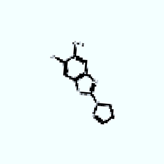 COc1cc2nc(N3CCC=N3)oc2cc1Br